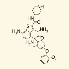 COc1ccccc1Oc1ccc(C2(N)C(=O)C(N)c3c(C(=O)NC4CCNCC4)sc4c(N)ccc2c34)c(C)c1